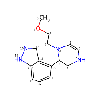 COCCN1C=CNCC1c1cccc2[nH]ncc12